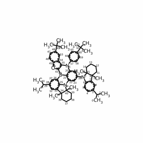 CC(C)c1ccc2c(c1)C1(C)CCCCC1(C)N2c1cc2c3c(c1)N1c4c(cc(C(C)C)cc4C4(C)CCCCC14C)B3c1oc3ccc(C(C)(C)C)cc3c1N2c1ccc(C(C)(C)C)cc1